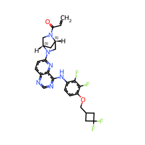 C=CC(=O)N1C[C@@H]2C[C@H]1CN2c1ccc2ncnc(Nc3ccc(OCC4CC(F)(F)C4)c(F)c3F)c2n1